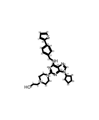 OCCN1CCN(c2nc(NCc3ccc(-c4cccs4)cc3)c3ncn(C4CCCC4)c3n2)CC1